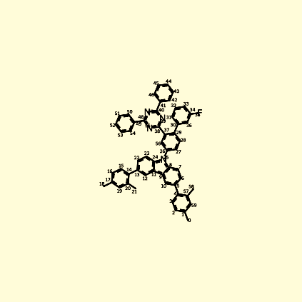 Cc1ccc(-c2ccc3c(c2)c2cc(-c4ccc(C)cc4C)ccc2n3-c2ccc(-c3cccc(F)c3)c(-c3nc(-c4ccccc4)nc(-c4ccccc4)n3)c2)c(C)c1